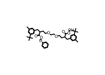 Cc1cc(CC(CCOCCOCCC(Cc2cc(C)cc(C(C)(C)C)c2)C(=O)OOc2ccccc2)C(=O)OO)cc(C(C)(C)C)c1